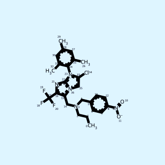 CCCN(Cc1ccc([N+](=O)[O-])cc1)Cc1c(C(F)(F)F)nc2n(-c3c(C)cc(C)cc3C)c(Cl)cn12